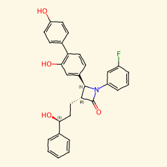 O=C1[C@H](CC[C@H](O)c2ccccc2)[C@@H](c2ccc(-c3ccc(O)cc3)c(O)c2)N1c1cccc(F)c1